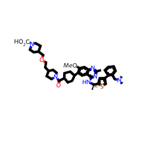 COc1cc2nc(C)nc(N[C@H](C)c3cc(-c4ccccc4CN(C)C)cs3)c2cc1C1CCC(C(=O)N2CCC(CCOCC3CCN(C(=O)O)CC3)CC2)CC1